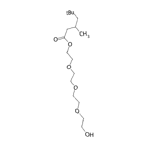 CC(CC(=O)OCCOCCOCCOCCO)CC(C)(C)C